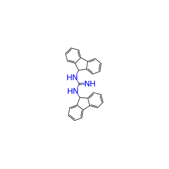 N=C(NC1c2ccccc2-c2ccccc21)NC1c2ccccc2-c2ccccc21